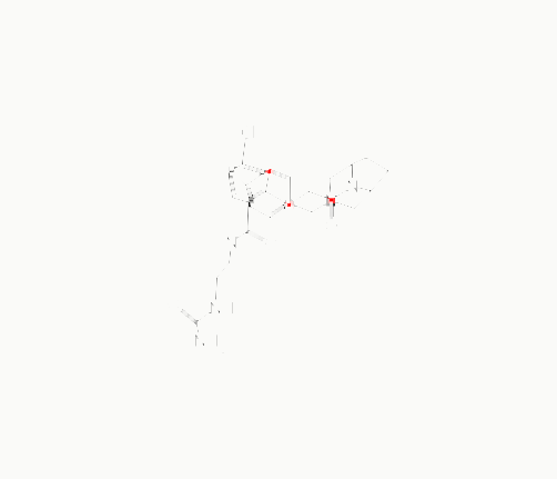 NC(=O)NCCNC(=O)c1ccc(Cl)cc1OCC(=O)N1C2CCC1CN(Cc1ccc(F)cc1)C2